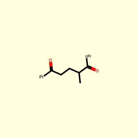 CCCC(=O)C(C)CCC(=O)C(C)C